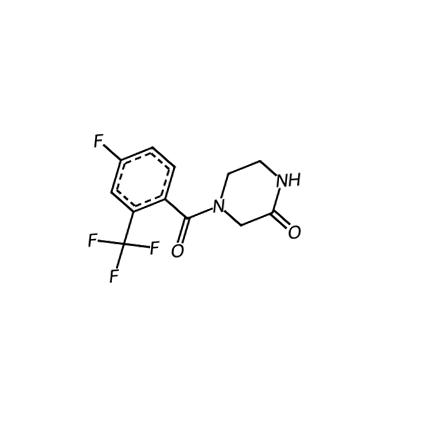 O=C1CN(C(=O)c2ccc(F)cc2C(F)(F)F)CCN1